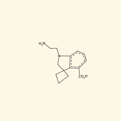 NCCN1CC2(CCC2)c2c(C(=O)O)cccc21